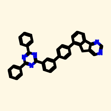 c1ccc(-c2nc(-c3ccccc3)nc(-c3cccc(-c4ccc(-c5cccc6c5Cc5cncnc5-6)cc4)c3)n2)cc1